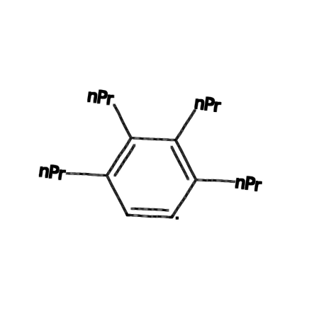 CCCc1[c]cc(CCC)c(CCC)c1CCC